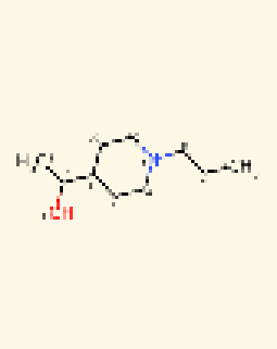 CCCN1CCC(C(C)O)CC1